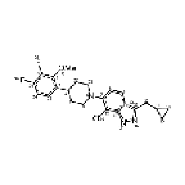 COc1c(C2CCN(c3ccn4c(CC5CC5)nnc4c3Cl)CC2)ccc(F)c1F